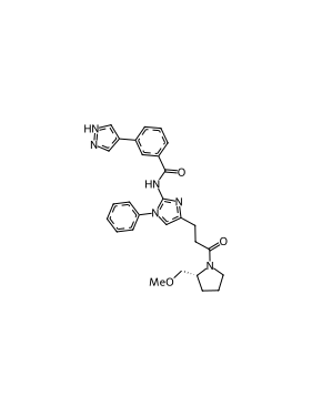 COC[C@H]1CCCN1C(=O)CCc1cn(-c2ccccc2)c(NC(=O)c2cccc(-c3cn[nH]c3)c2)n1